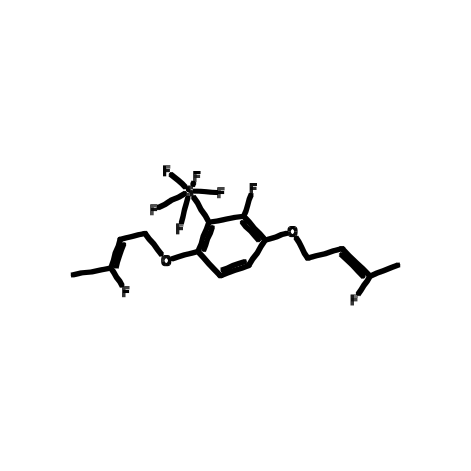 C/C(F)=C/COc1ccc(OC/C=C(/C)F)c(S(F)(F)(F)(F)F)c1F